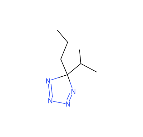 CCCC1(C(C)C)N=NN=N1